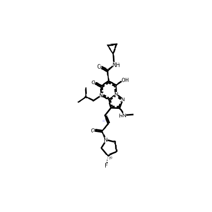 CNc1nn2c(O)c(C(=O)NC3CC3)c(=O)n(CC(C)C)c2c1/C=C/C(=O)N1CC[C@H](F)C1